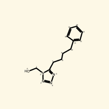 OCn1nnnc1CCCCc1ccccc1